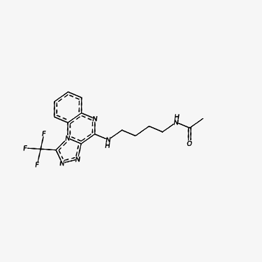 CC(=O)NCCCCNc1nc2ccccc2n2c(C(F)(F)F)nnc12